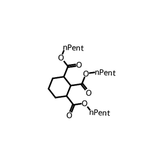 CCCCCOC(=O)C1CCCC(C(=O)OCCCCC)C1C(=O)OCCCCC